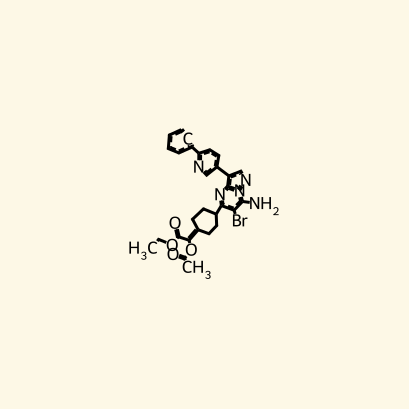 CCOC(=O)C(OC(C)=O)=C1CCC(c2nc3c(-c4ccc(-c5ccccc5)nc4)cnn3c(N)c2Br)CC1